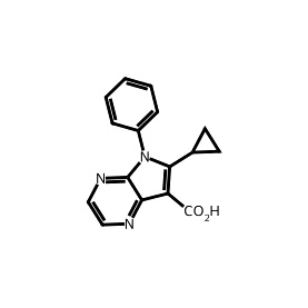 O=C(O)c1c(C2CC2)n(-c2ccccc2)c2nccnc12